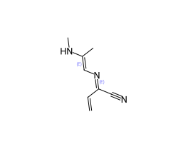 C=C/C(C#N)=N\C=C(/C)NC